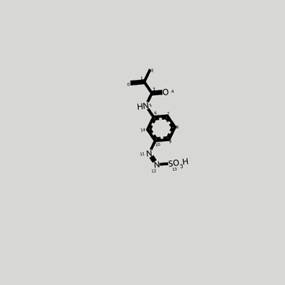 C=C(C)C(=O)Nc1cccc(/N=N\S(=O)(=O)O)c1